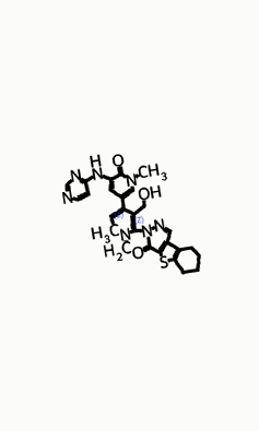 C=N/C(=C(CO)\C(=C/C)c1cc(Nc2ccncn2)c(=O)n(C)c1)n1ncc2c3c(sc2c1=O)CCCC3